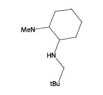 CNC1CCCCC1NCC(C)(C)C